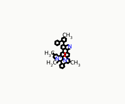 C=CC1C2c3ccccc3-c3cc(C)cc[n+]3C2c2ccc(-c3ccc(-c4ccc(C)cc4-c4ccccc4)c4cncc(-c5ccccc5)c34)cc2-c2cc(C)cc[n+]21